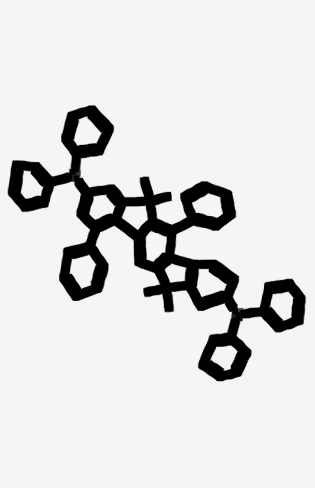 CC1(C)c2cc(N(c3ccccc3)c3ccccc3)ccc2-c2c1cc1c(c2-c2ccccc2)C(C)(C)c2cc(N(c3ccccc3)c3ccccc3)cc(-c3ccccc3)c2-1